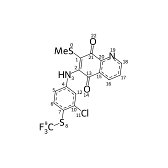 CSC1=C(Nc2ccc(SC(F)(F)F)c(Cl)c2)C(=O)c2cccnc2C1=O